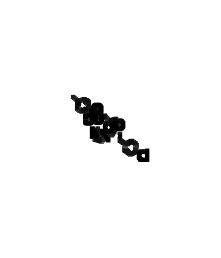 Cc1ccc(S(=O)(=O)OC[C@H]2CO[C@@](CCc3ccc(Cl)cc3)(Cn3ccnc3)O2)cc1